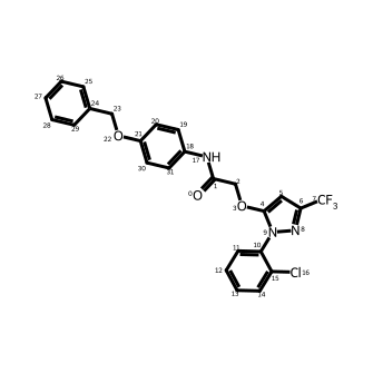 O=C(COc1cc(C(F)(F)F)nn1-c1ccccc1Cl)Nc1ccc(OCc2ccccc2)cc1